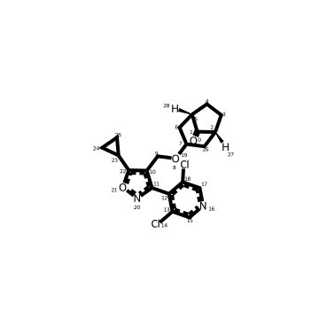 O=C1[C@@H]2CC[C@H]1CC(OCc1c(-c3c(Cl)cncc3Cl)noc1C1CC1)C2